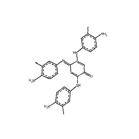 Cc1cc(N=C2C=C(Nc3ccc(N)c(C)c3)C(=O)C=C2Nc2ccc(N)c(C)c2)ccc1N